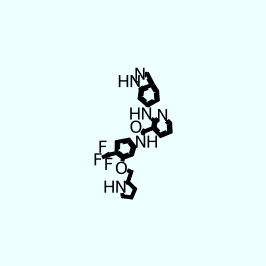 O=C(Nc1ccc(C(F)(F)F)c(OCC2CCCN2)c1)c1cccnc1Nc1ccc2cn[nH]c2c1